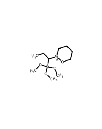 CCC([SiH]1CCCCO1)[Si](OC)(OC)OC